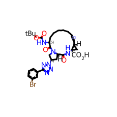 CC(C)(C)OC(=O)N[C@H]1CCCCC/C=C\[C@@H]2C[C@@]2(C(=O)O)NC(=O)[C@@H]2C[C@@H](n3nnc(-c4cccc(Br)c4)n3)CN2C1=O